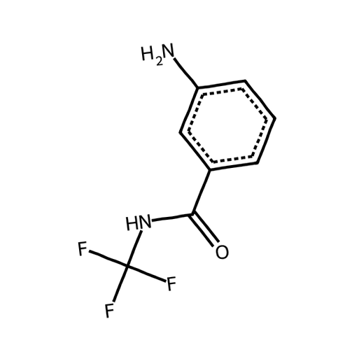 Nc1cccc(C(=O)NC(F)(F)F)c1